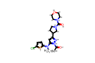 CN(c1ccc(Cl)s1)c1cc(C2CCN(C(=O)N3CCOCC3)C2)nn1C(=O)C(C)(C)C